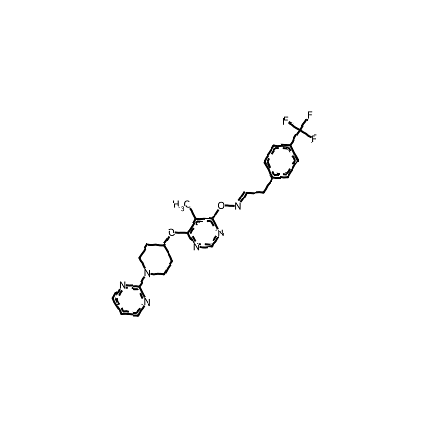 Cc1c(ON=CCc2ccc(C(F)(F)F)cc2)ncnc1OC1CCN(c2ncccn2)CC1